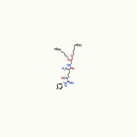 CCCCCCCCCCCCCCOCC(CNC(=O)C(N)CCCN(O)C(=N)NSc1ccc(C)cc1)OCCCCCCCCCCCCCC